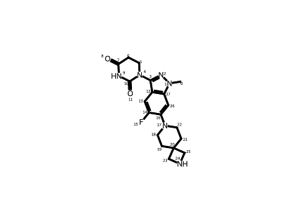 Cn1nc(N2CCC(=O)NC2=O)c2cc(F)c(N3CCC4(CC3)CNC4)cc21